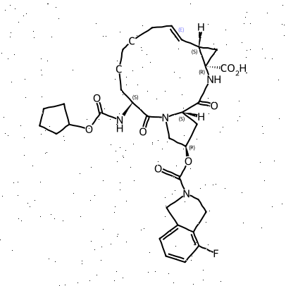 O=C(N[C@H]1CCCCC/C=C/[C@@H]2C[C@@]2(C(=O)O)NC(=O)[C@@H]2C[C@@H](OC(=O)N3CCc4c(F)cccc4C3)CN2C1=O)OC1CCCC1